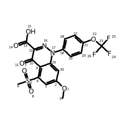 COc1cc(S(C)(=O)=O)c2c(=O)c(C(=O)O)nn(-c3ccc(OC(F)(F)F)cc3)c2c1